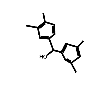 Cc1cc(C)cc(C(O)c2ccc(C)c(C)c2)c1